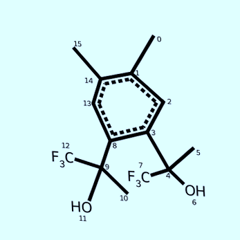 Cc1cc(C(C)(O)C(F)(F)F)c(C(C)(O)C(F)(F)F)cc1C